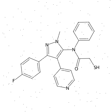 Cn1nc(-c2ccc(F)cc2)c(-c2ccncc2)c1N(C(=O)CS)c1ccccc1